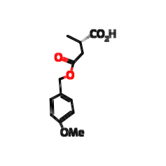 COc1ccc(COC(=O)C[C@H](C)C(=O)O)cc1